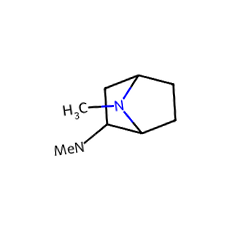 CNC1CC2CCC1N2C